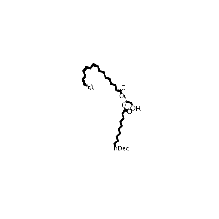 CC/C=C\C/C=C\C/C=C\CCCCCCCC(=O)OC[C@H](CO)OC(=O)CCCCCCCCCCCCCCCCCCC